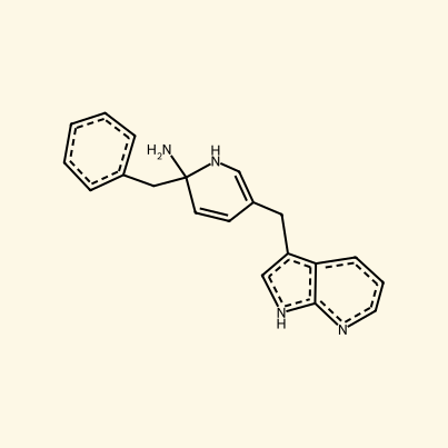 NC1(Cc2ccccc2)C=CC(Cc2c[nH]c3ncccc23)=CN1